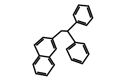 c1ccc(C(Cc2ccc3ccccc3c2)c2ccccc2)cc1